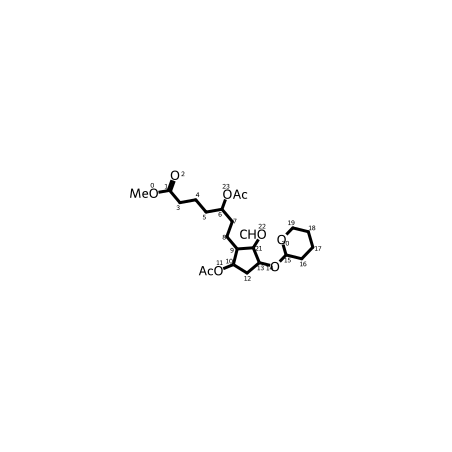 COC(=O)CCCC(CCC1C(OC(C)=O)CC(OC2CCCCO2)C1C=O)OC(C)=O